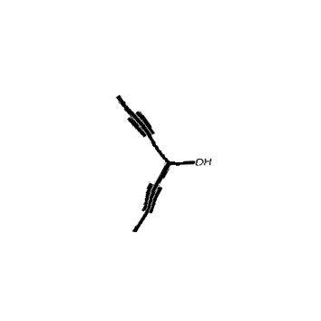 CC#CC(O)C#CC